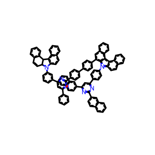 C1=CC2C(c3ccccc31)c1c(ccc3ccccc13)N2c1cccc(-c2cc(-c3ccccc3)nc(-c3ccc(-c4ccc(-c5cc6ccccc6c6c7c8ccccc8ccc7n(-c7ccc(-c8cc(-c9ccc%10ccccc%10c9)nc(-c9ccc%10ccccc%10c9)n8)cc7)c56)cc4)cc3)n2)c1